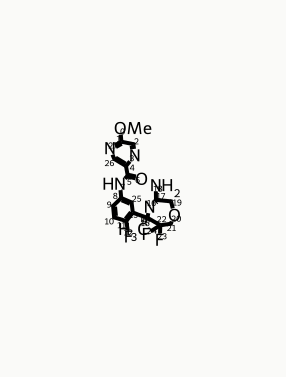 COc1cnc(C(=O)Nc2ccc(F)c([C@@]3(C)N=C(N)COCC3(F)F)c2)cn1